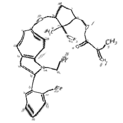 C=C(C)C(=O)OC1CCC(Oc2ccc3cc(-c4ccccc4CC)n(CC(C)C)c3c2)C1(C)C(F)(F)F